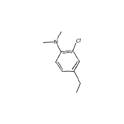 CCc1ccc(N(C)C)c(Cl)c1